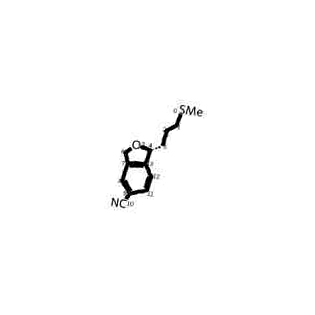 CSCCC[C@H]1OCc2cc(C#N)ccc21